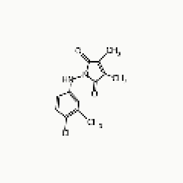 CC1=C(C)C(=O)N(Nc2ccc(Cl)c(C)c2)C1=O